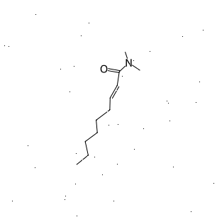 CCCCCC/C=C/C(=O)N(C)C